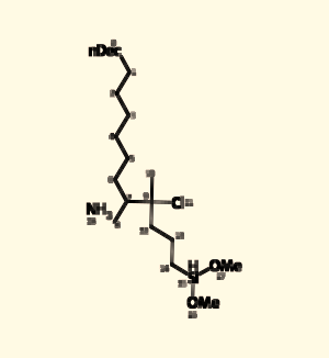 CCCCCCCCCCCCCCCCC(C)C(C)(Cl)CCC[SiH](OC)OC.N